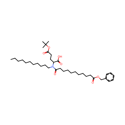 CCCCCCCCCCCN(C(=O)CCCCCCCCCC(=O)OCc1ccccc1)C(CCC(=O)OC(C)(C)C)C(=O)O